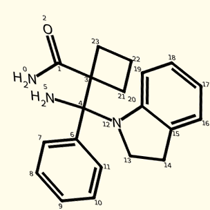 NC(=O)C1(C(N)(c2ccccc2)N2CCc3ccccc32)CCC1